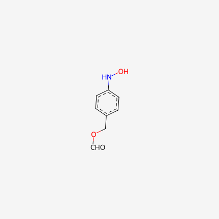 O=COCc1ccc(NO)cc1